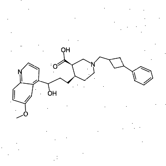 COc1ccc2nccc(C(O)CC[C@@H]3CCN(CC4CC(c5ccccc5)C4)C[C@@H]3C(=O)O)c2c1